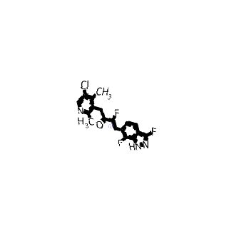 Cc1ncc(Cl)c(C)c1CC(=O)/C(F)=C/c1ccc2c(F)n[nH]c2c1F